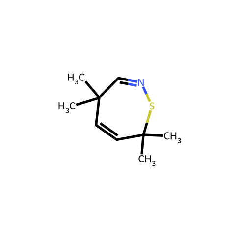 CC1(C)C=CC(C)(C)SN=C1